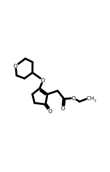 CCOC(=O)CC1=C(OC2CCOCC2)CCC1=O